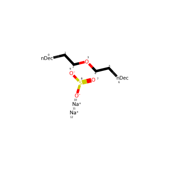 CCCCCCCCCCCCOCCCCCCCCCCCC.O=S([O-])[O-].[Na+].[Na+]